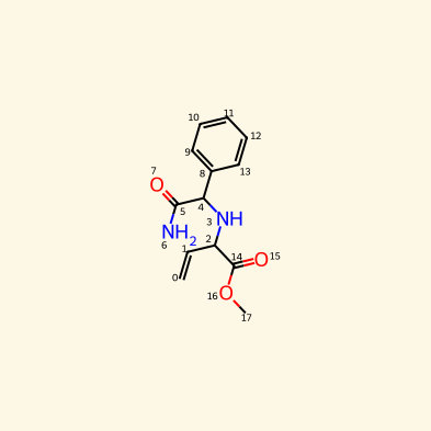 C=CC(NC(C(N)=O)c1ccccc1)C(=O)OC